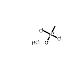 C[N+]([O-])(Cl)Cl.Cl